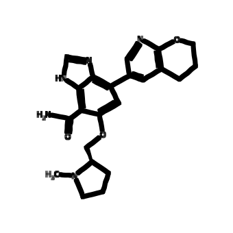 CN1CCC[C@@H]1COc1cc(-c2cnc3c(c2)CCCO3)c2nc[nH]c2c1C(N)=O